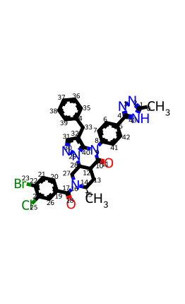 Cc1nnc(-c2ccc(N3C(=O)C4C[C@H](C)N(C(=O)c5ccc(Br)c(Cl)c5)CC4n4ncc(Cc5ccccc5)c43)cc2)[nH]1